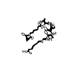 CC(NC(=O)CCCCCN1C(=O)C=CC1=O)C(=O)NC(C)C(=O)NC(C)C(=O)NCSCCCCCC(=O)O